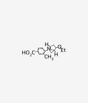 CCO[C@@H]1C[C@@H]2C[C@H]1CN2c1ccc(C(=O)O)cc1C